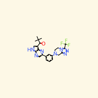 CC(C)(C)C(=O)c1c[nH]c2ncc(-c3cccc(N4CCn5c(nnc5C(F)(F)F)C4)c3)nc12